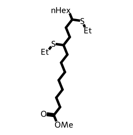 CCCCCCC(CCC(CCCCCCCC(=O)OC)SCC)SCC